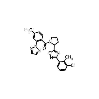 Cc1ccc(C(=O)N2CCCC2c2nc(-c3cccc(Cl)c3C)no2)c(-n2nccn2)c1